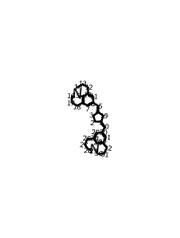 C(=C1CCC(=Cc2cc3c4c(c2)CCCN4CCC3)C1)c1cc2c3c(c1)CCCN3CCC2